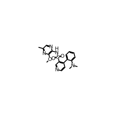 COc1nc(C)cnc1NS(=O)(=O)c1cnccc1-c1ccccc1N(C)C